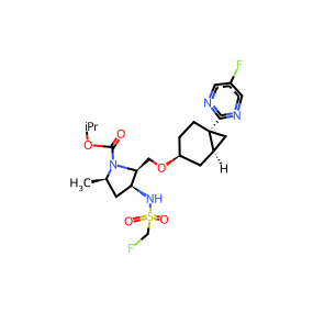 CC(C)OC(=O)N1[C@H](C)C[C@H](NS(=O)(=O)CF)[C@@H]1CO[C@H]1CC[C@@]2(c3ncc(F)cn3)C[C@H]2C1